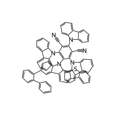 N#Cc1c(-n2c3ccccc3c3ccccc32)c(C#N)c(-n2c3ccccc3c3ccccc32)c(-n2c3ccc(-c4ccccc4-c4ccccc4)cc3c3ccc4c5ccccc5sc4c32)c1-n1c2ccccc2c2ccccc21